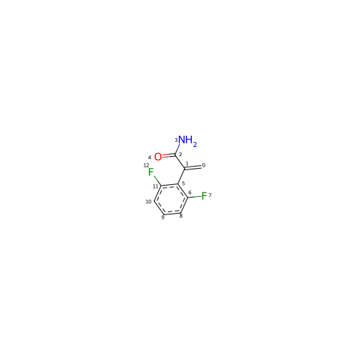 C=C(C(N)=O)c1c(F)cccc1F